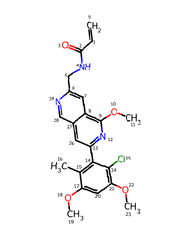 C=CC(=O)NCc1cc2c(OC)nc(-c3c(C)c(OC)cc(OC)c3Cl)cc2cn1